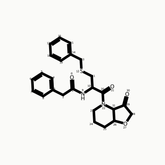 O=C(Cc1ccccc1)NC(CSCc1ccccc1)C(=O)N1CCCC2OCC(=O)C21